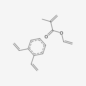 C=COC(=O)C(=C)C.C=Cc1ccccc1C=C